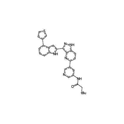 CC(C)(C)CC(=O)Nc1cncc(-c2ccc3[nH]nc(-c4cc5c(-c6ccsc6)cccc5[nH]4)c3n2)c1